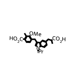 COc1c(Cc2cn(C(C)C)c3ccc(CC(C)C(=O)O)cc23)ccc(C(=O)O)c1C